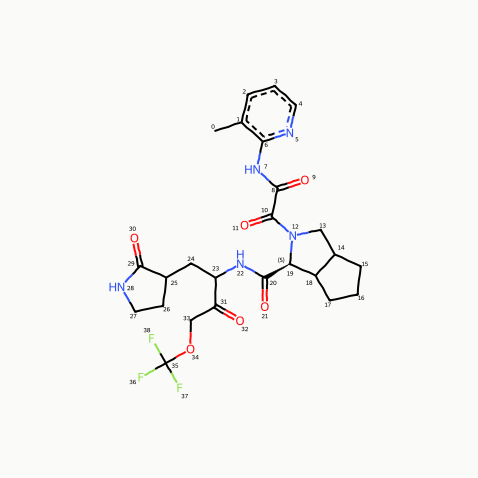 Cc1cccnc1NC(=O)C(=O)N1CC2CCCC2[C@H]1C(=O)NC(CC1CCNC1=O)C(=O)COC(F)(F)F